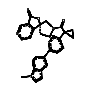 Cn1ccc2cc(-c3ccc(C4(C(=O)N5CC[C@@]6(C5)OC(=O)c5cnccc56)CC4)cn3)ccc21